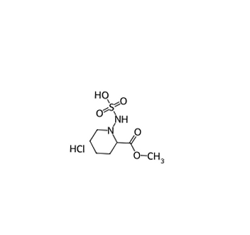 COC(=O)C1CCCCN1NS(=O)(=O)O.Cl